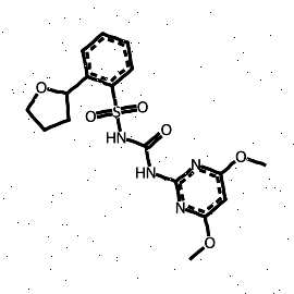 COc1cc(OC)nc(NC(=O)NS(=O)(=O)c2ccccc2C2CCCO2)n1